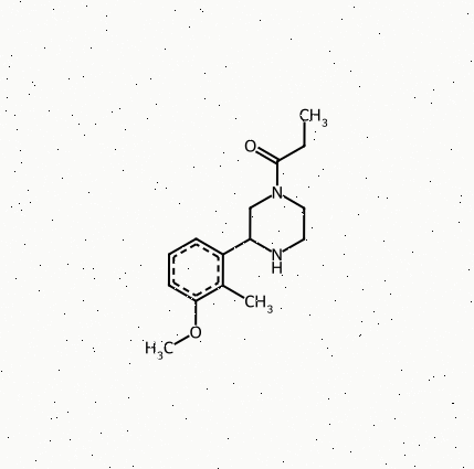 CCC(=O)N1CCNC(c2cccc(OC)c2C)C1